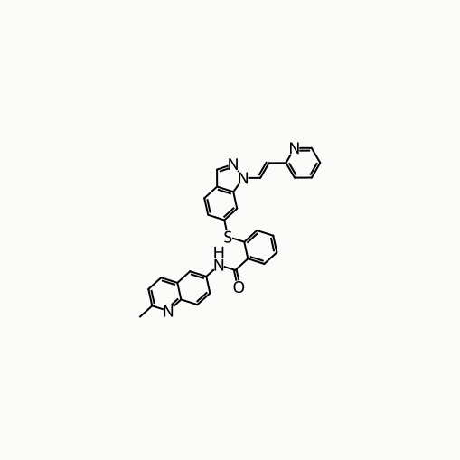 Cc1ccc2cc(NC(=O)c3ccccc3Sc3ccc4cnn(C=Cc5ccccn5)c4c3)ccc2n1